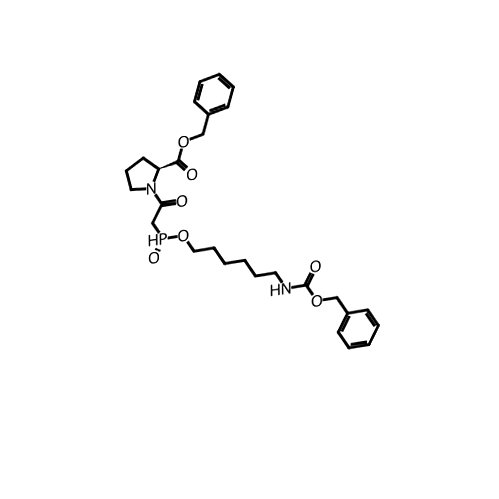 O=C(NCCCCCCO[PH](=O)CC(=O)N1CCC[C@H]1C(=O)OCc1ccccc1)OCc1ccccc1